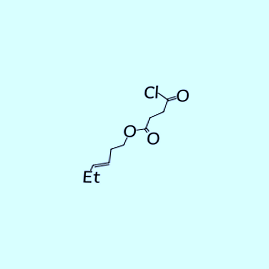 CCC=CCCOC(=O)CCC(=O)Cl